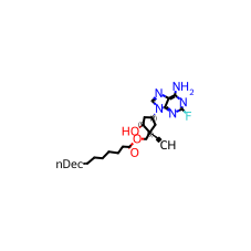 C#C[C@]1(COC(=O)CCCCCCCCCCCCCCCC)C[C@@H](n2cnc3c(N)nc(F)nc32)C[C@@H]1O